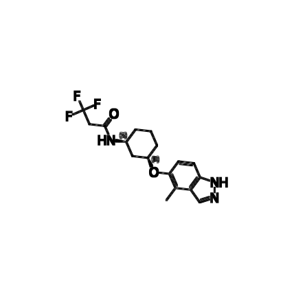 Cc1c(O[C@@H]2CCC[C@H](NC(=O)CC(F)(F)F)C2)ccc2[nH]ncc12